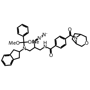 COC(OC)(c1ccccc1)N(CC(CNC(=O)c1ccc(C(=O)N2C3CCC2COC3)cc1)N=[N+]=[N-])C1Cc2ccccc2C1